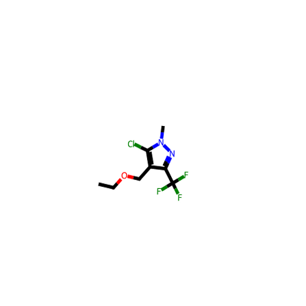 CCOCc1c(C(F)(F)F)nn(C)c1Cl